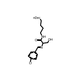 CCCCCCCCCCCCCCNC(=O)C(CO)N=Cc1ccc(Cl)cc1